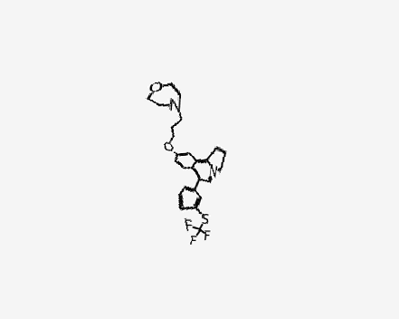 FC(F)(F)Sc1cccc(-c2c[n+]3c(c4cc(OCCCN5CCOCC5)ccc24)CCC3)c1